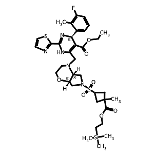 CCOC(=O)C1=C(CN2CCO[C@H]3CN(S(=O)(=O)C4CC(C)(C(=O)OCC[Si](C)(C)C)C4)C[C@H]32)NC(c2nccs2)=N[C@H]1c1cccc(F)c1C